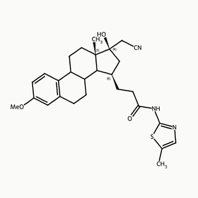 COc1ccc2c(c1)CCC1C2CC[C@@]2(C)C1[C@H](CCC(=O)Nc1ncc(C)s1)C[C@@]2(O)CC#N